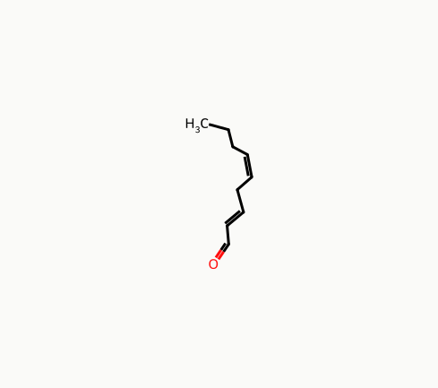 CCC/C=C\C/C=C/C=O